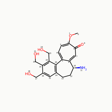 COc1ccc2c(cc1=O)[C@@H](N)CCc1cc(CO)c(CO)c(CO)c1-2